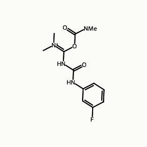 CNC(=O)OC(NC(=O)Nc1cccc(F)c1)=[N+](C)C